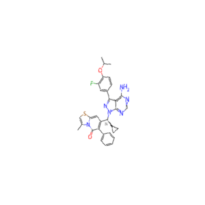 Cc1csc2cc([C@H](C3CC3)n3nc(-c4ccc(OC(C)C)c(F)c4)c4c(N)ncnc43)c(-c3ccccc3)c(=O)n12